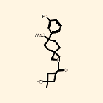 COC1(c2cccc(C(C)C)c2)CCC2(CC1)CN(C(=O)C1CC(C)(O)C1)C2